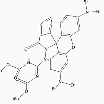 CCN(CC)c1ccc2c(c1)Oc1cc(N(CC)CC)ccc1C21c2ccccc2C(=O)N1N/C(=N/C(=O)OC(C)(C)C)NC(=O)OC(C)(C)C